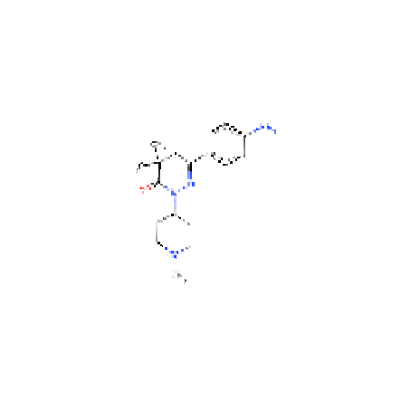 CN1CCC(N2N=C(c3ccc(N)cc3)CC(C)(C)C2=O)CC1